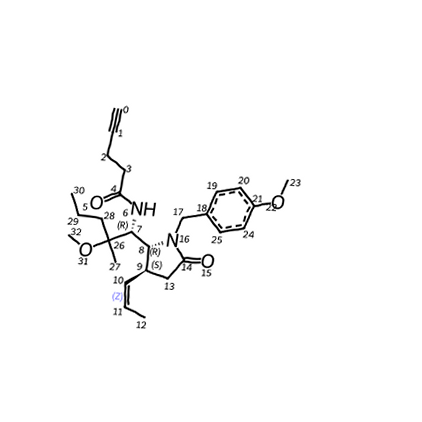 C#CCCC(=O)N[C@H]([C@H]1[C@H](/C=C\C)CC(=O)N1Cc1ccc(OC)cc1)C(C)(CCC)OC